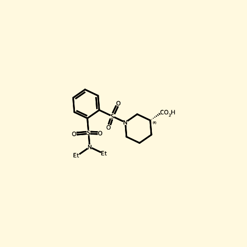 CCN(CC)S(=O)(=O)c1ccccc1S(=O)(=O)N1CCC[C@@H](C(=O)O)C1